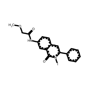 COCC(=O)Nc1ccc2cc(-c3ccccc3)n(I)c(=O)c2c1